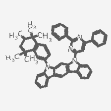 CC1CC(C)(C)c2cc(-n3c4ccccc4c4cc5c6ccccc6n(-c6cc(-c7ccccc7)nc(-c7ccccc7)n6)c5cc43)ccc2C1(C)C